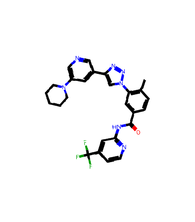 Cc1ccc(C(=O)Nc2cc(C(F)(F)F)ccn2)cc1-n1cc(-c2cncc(N3CCCCC3)c2)nn1